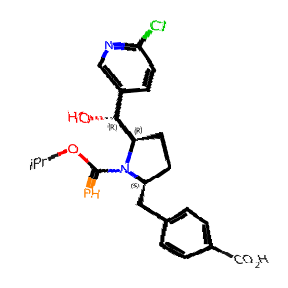 CC(C)OC(=P)N1[C@H](Cc2ccc(C(=O)O)cc2)CC[C@@H]1[C@H](O)c1ccc(Cl)nc1